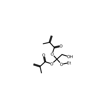 C=C(C)C(=O)OC(CO)(OCC)OC(=O)C(=C)C